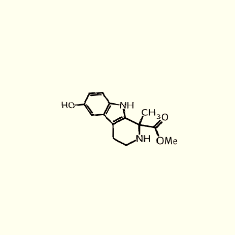 COC(=O)C1(C)NCCc2c1[nH]c1ccc(O)cc21